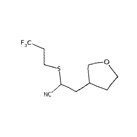 N#CC(CC1CCOC1)SCCC(F)(F)F